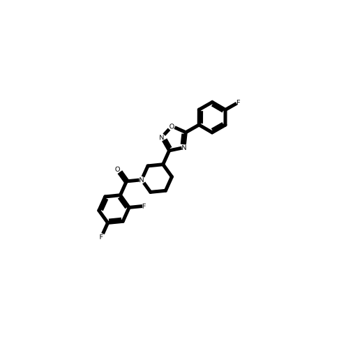 O=C(c1ccc(F)cc1F)N1CCCC(c2noc(-c3ccc(F)cc3)n2)C1